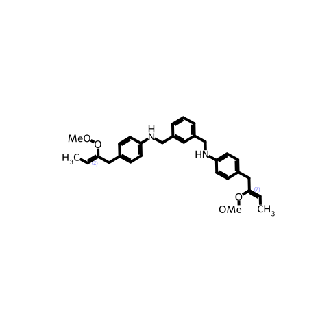 C/C=C(/Cc1ccc(NCc2cccc(CNc3ccc(C/C(=C/C)OOC)cc3)c2)cc1)OOC